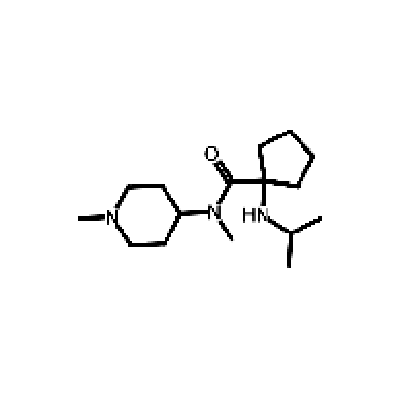 CC(C)NC1(C(=O)N(C)C2CCN(C)CC2)CCCC1